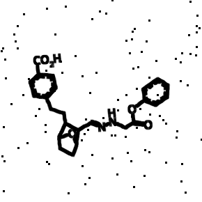 O=C(CNN=CC1C2CCC(O2)C1CCc1ccc(C(=O)O)cc1)Oc1ccccc1